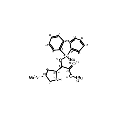 CN[C@H]1CN[C@H](C(O[Si](c2ccccc2)(c2ccccc2)C(C)(C)C)C(=O)OC(C)(C)C)C1